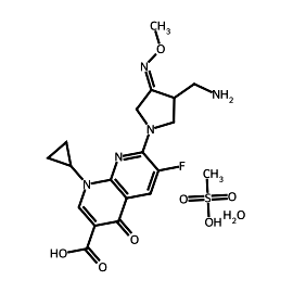 CON=C1CN(c2nc3c(cc2F)c(=O)c(C(=O)O)cn3C2CC2)CC1CN.CS(=O)(=O)O.O